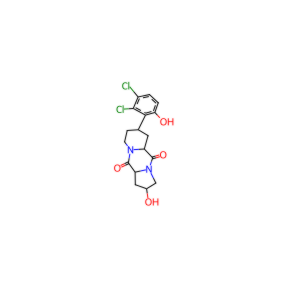 O=C1C2CC(O)CN2C(=O)C2CC(c3c(O)ccc(Cl)c3Cl)CCN12